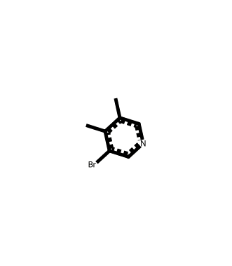 Cc1cncc(Br)c1C